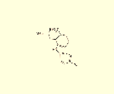 CCOC(=O)N1CCc2c([nH]c3ccc(Cl)cc23)C1CC(C)SC